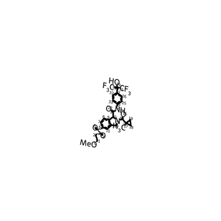 COCCS(=O)(=O)c1ccc2c(c1)CN(C(=O)C1(C)CC1)C2C(=O)Nc1ccc(C(O)(C(F)(F)F)C(F)(F)F)cc1